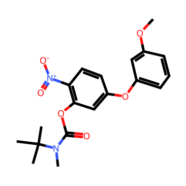 COc1cccc(Oc2ccc([N+](=O)[O-])c(OC(=O)N(C)C(C)(C)C)c2)c1